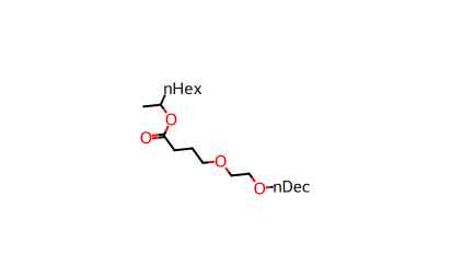 CCCCCCCCCCOCCOCCCC(=O)OC(C)CCCCCC